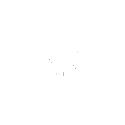 CC1=CC(C(C)C)=C(C#N)C(O)N1